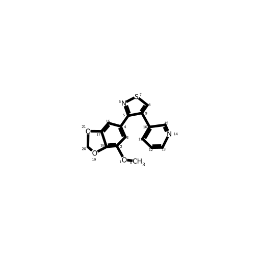 COc1cc(-c2nscc2-c2cccnc2)cc2c1OCO2